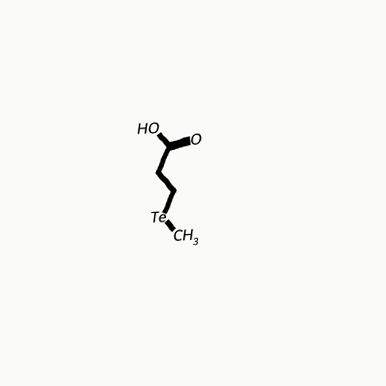 C[Te]CCC(=O)O